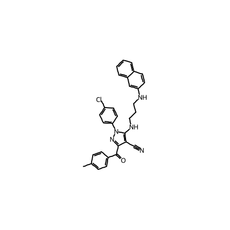 Cc1ccc(C(=O)c2nn(-c3ccc(Cl)cc3)c(NCCCNc3ccc4ccccc4c3)c2C#N)cc1